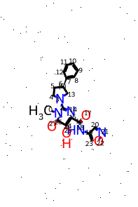 Cn1c(N2CC[C@@H](c3ccccc3)C2)nc(C(=O)Nc2cnoc2)c(O)c1=O